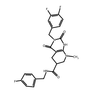 CN1CC(C(=O)NCc2ccc(F)cc2)Cc2c1[nH]c(=O)n(Cc1ccc(F)c(F)c1)c2=O